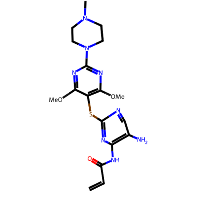 C=CC(=O)Nc1nc(Sc2c(OC)nc(N3CCN(C)CC3)nc2OC)ncc1N